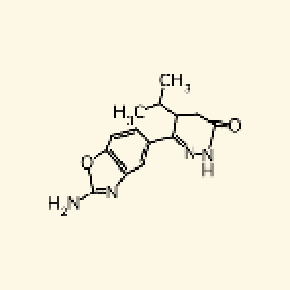 CC(C)C1CC(=O)NN=C1c1ccc2oc(N)nc2c1